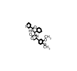 COc1ccc(C2=NN(C(NC(=O)c3cccnc3)c3ccccc3)C(=O)OC2)cc1OC